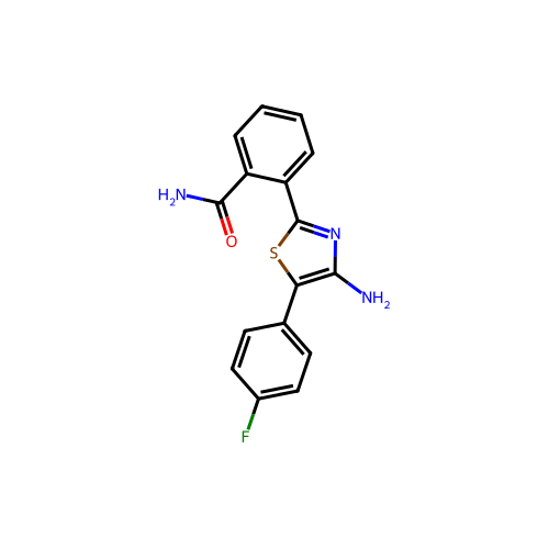 NC(=O)c1ccccc1-c1nc(N)c(-c2ccc(F)cc2)s1